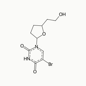 O=c1[nH]c(=O)n(C2CCC(CCO)O2)cc1Br